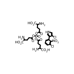 NC(CCC(=O)OP(=O)(OC(=O)CCC(N)C(=O)O)OC(=O)CCC(N)C(=O)O)C(=O)O.O=[N+]([O-])c1c(Cl)cccc1-c1c[nH]cc1Cl